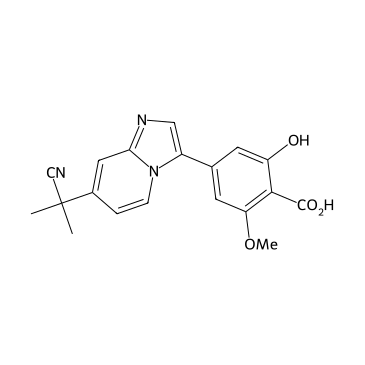 COc1cc(-c2cnc3cc(C(C)(C)C#N)ccn23)cc(O)c1C(=O)O